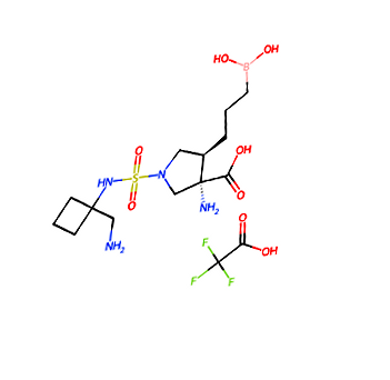 NCC1(NS(=O)(=O)N2C[C@@H](CCCB(O)O)[C@@](N)(C(=O)O)C2)CCC1.O=C(O)C(F)(F)F